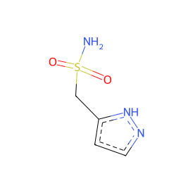 NS(=O)(=O)Cc1ccn[nH]1